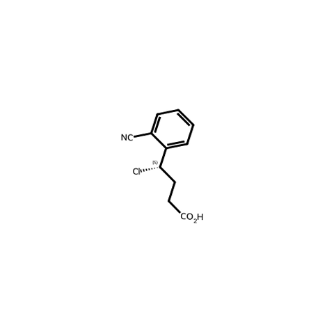 N#Cc1ccccc1[C@@H](Cl)CCC(=O)O